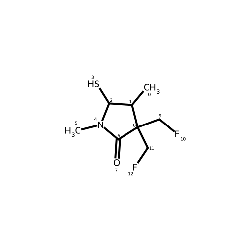 CC1C(S)N(C)C(=O)C1(CF)CF